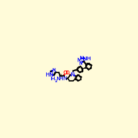 N[C@@H](Cc1c[nH]cn1)C(=O)N[C@@H]1CCc2ccccc2N(Cc2ccc(-c3ccccc3-c3nnn[nH]3)cc2)C1=O